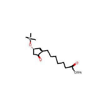 COC(=O)CCCCCCC1=C[C@@H](O[Si](C)(C)C)CC1=O